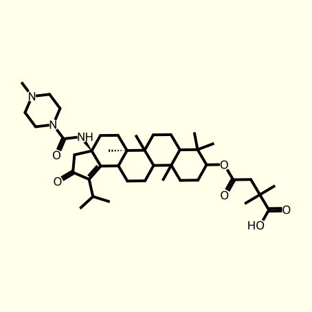 CC(C)C1=C2C3CCC4C5(C)CCC(OC(=O)CC(C)(C)C(=O)O)C(C)(C)C5CCC4(C)[C@]3(C)CC[C@@]2(NC(=O)N2CCN(C)CC2)CC1=O